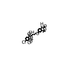 CC1(C)OC(=O)Nc2ccc(OCCCC=[N+](OS)c3ccc(Cl)c(Cl)c3S(C)(=O)=O)cc21